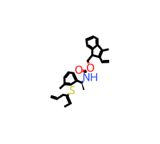 C=CC/C(=C\C)Sc1c(C)cccc1[C@H](C)NC(=O)OCC1C(C=C)=C(C)c2ccccc21